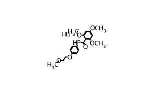 COCCOc1ccc(PC(=O)c2c(OC)cc(OC)cc2OC)cc1.[LiH]